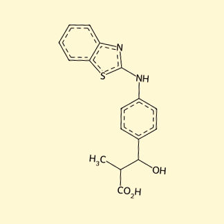 CC(C(=O)O)C(O)c1ccc(Nc2nc3ccccc3s2)cc1